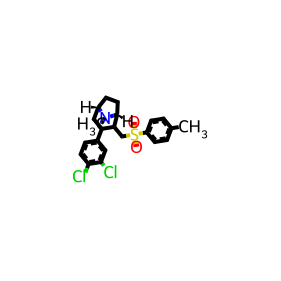 Cc1ccc(S(=O)(=O)CC2C(c3ccc(Cl)c(Cl)c3)C[C@@H]3CC[C@H]2N3C)cc1